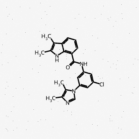 Cc1ncn(-c2cc(Cl)cc(NC(=O)c3cccc4c(C)c(C)[nH]c34)c2)c1C